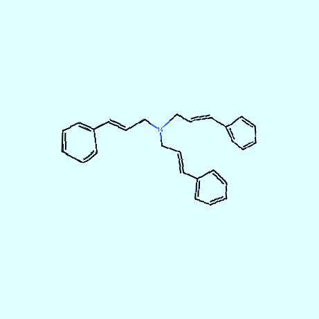 C(=Cc1ccccc1)CN(CC=Cc1ccccc1)CC=Cc1ccccc1